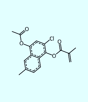 C=C(C)C(=O)Oc1c(Cl)cc(OC(C)=O)c2cc(C)ccc12